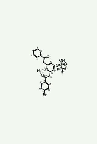 CN1C(CC(=O)c2ccccc2)=CC=CC1CC(=O)c1ccc(Br)cc1.O=S(=O)(O)C(F)(F)F